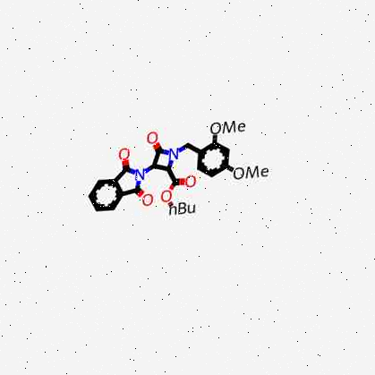 CCCCOC(=O)C1C(N2C(=O)c3ccccc3C2=O)C(=O)N1Cc1ccc(OC)cc1OC